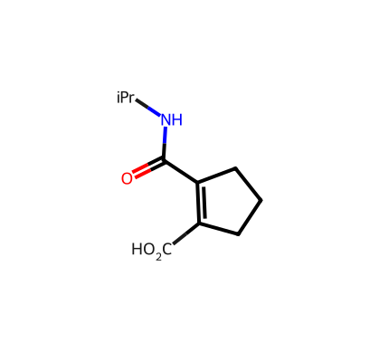 CC(C)NC(=O)C1=C(C(=O)O)CCC1